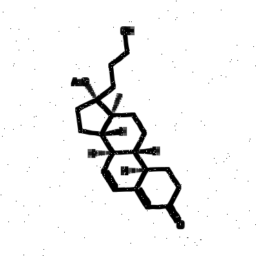 CC(=O)O[C@@]1(CCCO)CC[C@H]2[C@@H]3C=CC4=CC(=O)CC[C@@H]4[C@H]3CC[C@@]21C